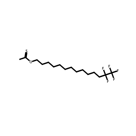 CC(=S)OCCCCCCCCCCCCC(F)(F)C(F)(F)F